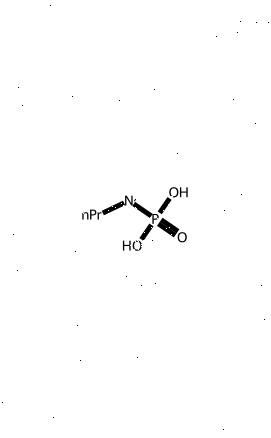 CCC[N]P(=O)(O)O